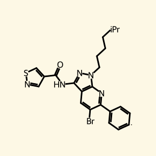 CC(C)CCCCn1nc(NC(=O)c2cnsc2)c2cc(Br)c(-c3cc[c]cc3)nc21